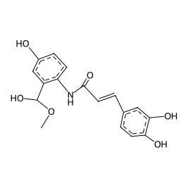 COC(O)c1cc(O)ccc1NC(=O)/C=C/c1ccc(O)c(O)c1